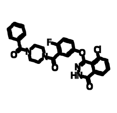 O=C(c1ccccc1)N1CCN(C(=O)c2cc(Oc3n[nH]c(=O)c4cccc(Cl)c34)ccc2F)CC1